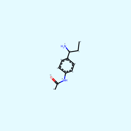 CCC(N)c1ccc(NC(C)=O)cc1